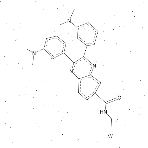 C#CCNC(=O)c1ccc2nc(-c3cccc(N(C)C)c3)c(-c3cccc(N(C)C)c3)nc2c1